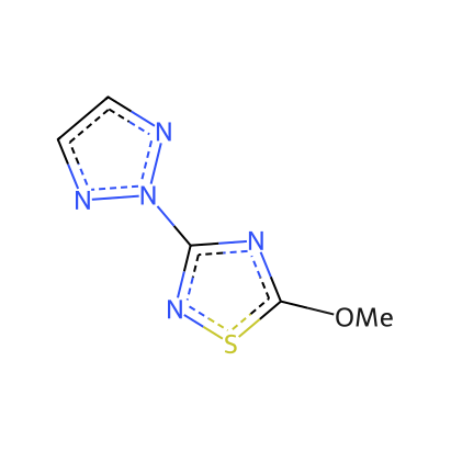 COc1nc(-n2nccn2)ns1